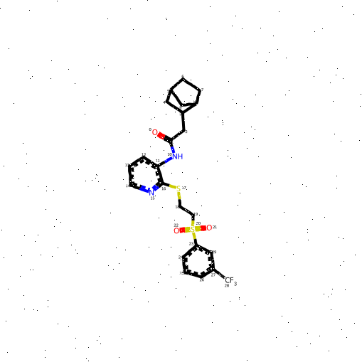 O=C(CC1CC2CCC1C2)Nc1cccnc1SCCS(=O)(=O)c1cccc(C(F)(F)F)c1